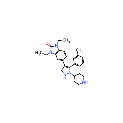 CCn1c(=O)n(CC)c2cc(C3=C(c4cccc(C)c4)N(C4CCNCC4)NC3)ccc21